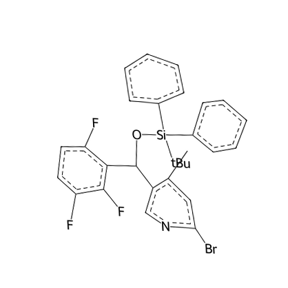 Cc1cc(Br)ncc1C(O[Si](c1ccccc1)(c1ccccc1)C(C)(C)C)c1c(F)ccc(F)c1F